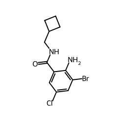 Nc1c(Br)cc(Cl)cc1C(=O)NCC1CCC1